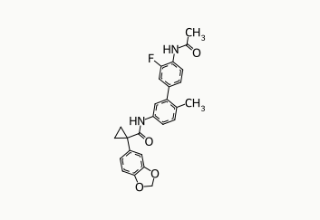 CC(=O)Nc1ccc(-c2cc(NC(=O)C3(c4ccc5c(c4)OCO5)CC3)ccc2C)cc1F